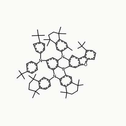 Cc1cc2c(cc1N1c3cc4c(cc3B3c5cc6c(cc5N(c5ccc7c(c5)C(C)(C)CCC7(C)C)c5cc(N(c7ccc(C(C)(C)C)cc7)c7ccc(C(C)(C)C)cc7)cc1c53)C(C)(C)CCC6(C)C)oc1cccc(C(C)(C)C)c14)C(C)(C)CCC2(C)C